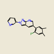 Cc1cc(F)c(-c2cnc3nn(-c4cccnc4)cc3c2)cc1C